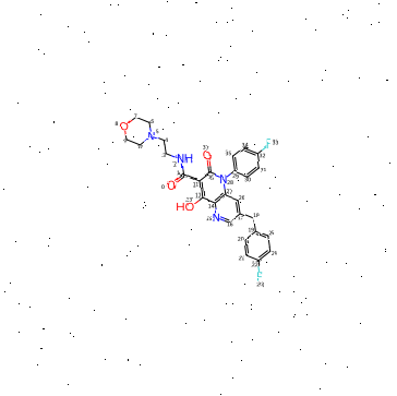 O=C(NCCN1CCOCC1)c1c(O)c2ncc(Cc3ccc(F)cc3)cc2n(-c2ccc(F)cc2)c1=O